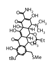 CCC(=O)O[C@H]1[C@H]2C(=C(O)[C@]3(O)C(=O)C(C(N)=O)=C(O)[C@@H](N(C)C)[C@H]13)C(=O)c1c(O)c(C(C)(C)C)cc(CSC)c1[C@@H]2C